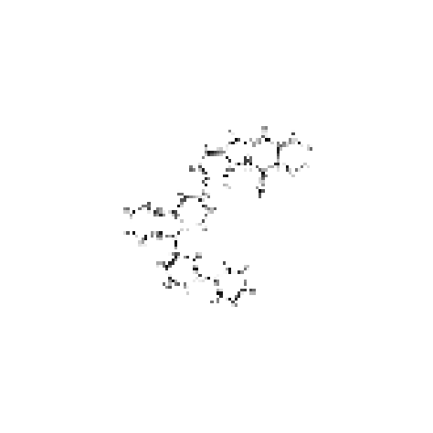 O=c1c2ccccc2nc2sc3ccc(-c4ccc5c(c4)c4ccccc4n5-c4cccc(-c5ccccc5)c4)cc3n12